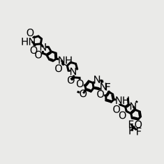 COc1cc2c(Oc3ccc(NC(=O)c4c(C)n(C)c5ccc(OC(F)(F)F)cc5c4=O)cc3F)ncnc2cc1OCC(=O)N1CCC[C@H](C(=O)Nc2ccc3c(c2)CN(C2CCC(=O)NC2=O)C3=O)C1